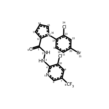 O=C(NNc1ncc(C(F)(F)F)cc1Cl)c1cccn1-c1ccc(Br)cc1Cl